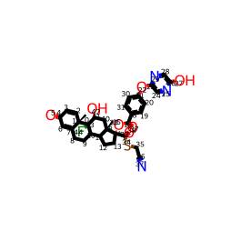 C[C@]12C=CC(=O)C=C1CCC1C3CC[C@](OC(=O)c4ccc(Oc5cnc(O)cn5)cc4)(C(=O)SCC#N)[C@@]3(C)C[C@H](O)C12F